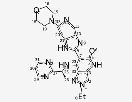 CCn1cc2[nH]c(=O)c(-c3nc4cnc(N5CCOCC5)cc4[nH]3)c(N[C@@H](C)c3ncccn3)c2n1